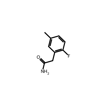 Cc1ccc(F)c(CC(N)=O)c1